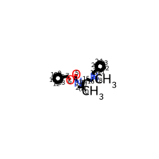 C[C@H]1CN(C(=O)OCc2ccccc2)[C@@H]1CCN(C)Cc1ccccc1